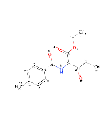 CCOC(=O)C(NC(=O)c1ccc(C)cc1)C(=O)CC